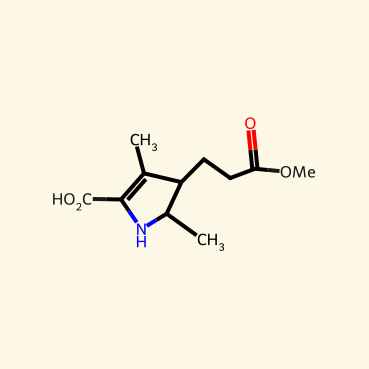 COC(=O)CCC1C(C)=C(C(=O)O)NC1C